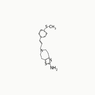 CSc1ccc(C=CCN2CCc3nc(N)sc3CC2)cc1